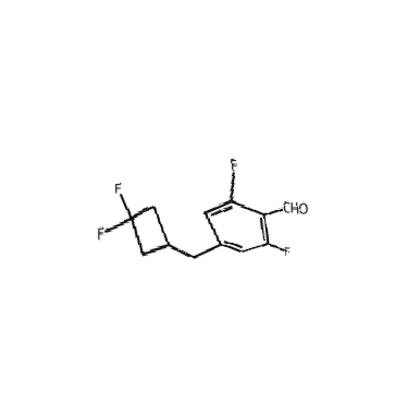 O=Cc1c(F)cc(CC2CC(F)(F)C2)cc1F